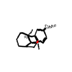 CN=C1C2CCC[C@]1(C)c1cc(OC)ccc1C2